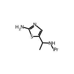 CC(C)NC(C)c1cnc(N)s1